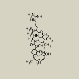 CC1C(C)C(C)C(N(C)C(=O)Oc2ccc3c4c2O[C@H]2[C@@H](O)C=C[C@H]5[C@@H](C3)N(C)CC[C@@]452)C(NC(=O)[C@H](CCCNC(=N)N)N(C)C)C1C